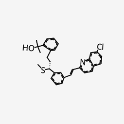 CS[C@H](CCc1ccccc1C(C)(C)O)c1cccc(/C=C/c2ccc3ccc(Cl)cc3n2)c1